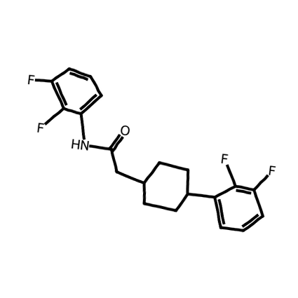 O=C(CC1CCC(c2cccc(F)c2F)CC1)Nc1cccc(F)c1F